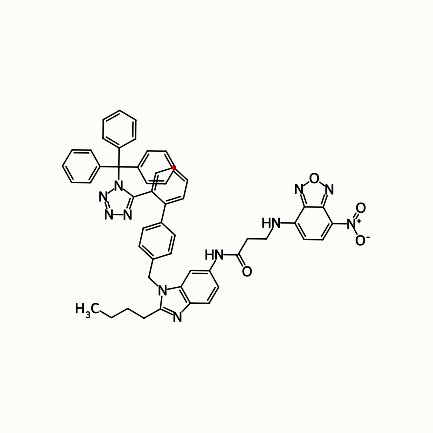 CCCCc1nc2ccc(NC(=O)CCNc3ccc([N+](=O)[O-])c4nonc34)cc2n1Cc1ccc(-c2ccccc2-c2nnnn2C(c2ccccc2)(c2ccccc2)c2ccccc2)cc1